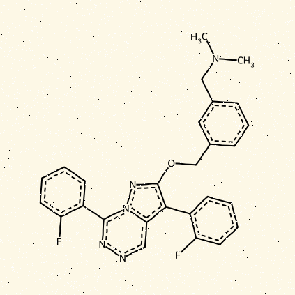 CN(C)Cc1cccc(COc2nn3c(-c4ccccc4F)nncc3c2-c2ccccc2F)c1